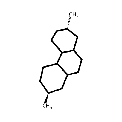 C[C@H]1CCC2C(CCC3C[C@@H](C)CCC32)C1